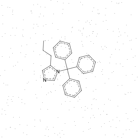 [CH2]CCc1cncn1C(c1ccccc1)(c1ccccc1)c1ccccc1